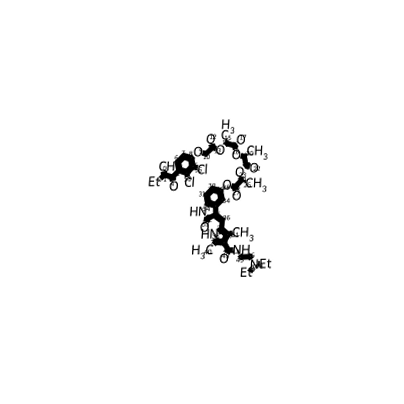 C=C(CC)C(=O)c1ccc(OCC(=O)O[C@@H](C)C(=O)O[C@@H](C)C(=O)O[C@@H](C)C(=O)Oc2ccc3c(c2)/C(=C/c2[nH]c(C)c(C(=O)NCCN(CC)CC)c2C)C(=O)N3)c(Cl)c1Cl